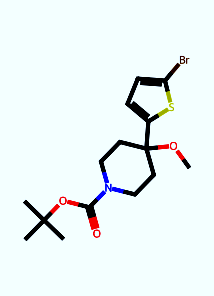 COC1(c2ccc(Br)s2)CCN(C(=O)OC(C)(C)C)CC1